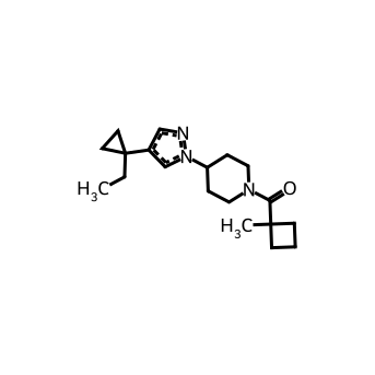 CCC1(c2cnn(C3CCN(C(=O)C4(C)CCC4)CC3)c2)CC1